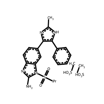 CS(=O)(=O)O.CS(=O)(=O)O.Cc1nc(-c2ccc3nc(N)n(S(=O)(=O)C(C)C)c3c2)c(-c2ccccc2)[nH]1